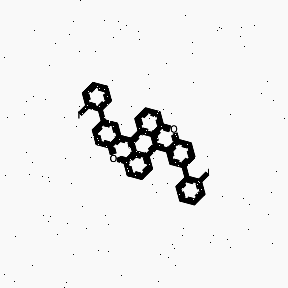 Ic1ccccc1-c1ccc2oc3cccc4c3c(c2c1)c1cccc2oc3ccc(-c5ccccc5I)cc3c4c21